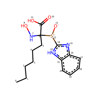 CCCCCCC(NO)(C(=O)O)[S+]([O-])c1nc2ccccc2[nH]1